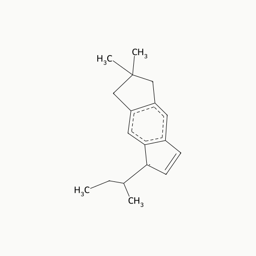 CCC(C)[C]1C=Cc2cc3c(cc21)CC(C)(C)C3